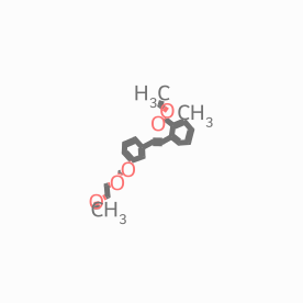 CCOC(=O)c1c(C)cccc1C#Cc1cccc(OCOCCOC)c1